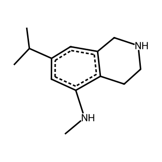 CNc1cc(C(C)C)cc2c1CCNC2